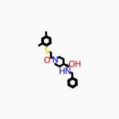 Cc1ccc(SCC(=O)N2CCC([C@@H](O)NCc3ccccc3)CC2)c(C)c1